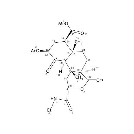 CCNC(=O)[C@@H]1C[C@]2(C)[C@H]3C(=O)[C@@H](OC(C)=O)C[C@@H](C(=O)OC)[C@]3(C)CC[C@H]2C(=O)O1